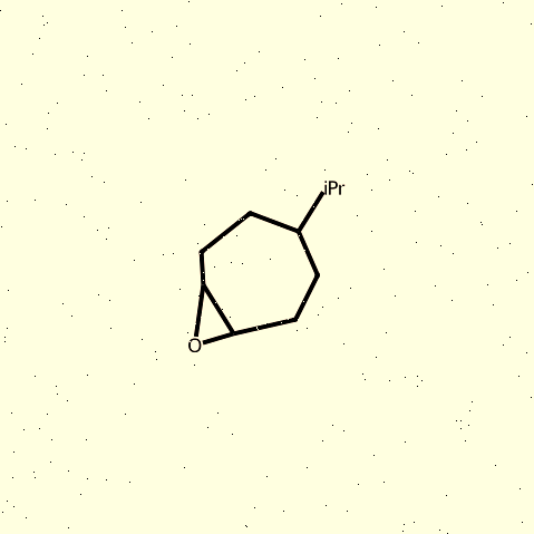 CC(C)C1CCC2OC2CC1